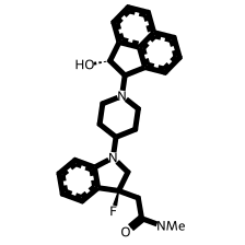 CNC(=O)C[C@@]1(F)CN(C2CCN(C3c4cccc5cccc(c45)[C@H]3O)CC2)c2ccccc21